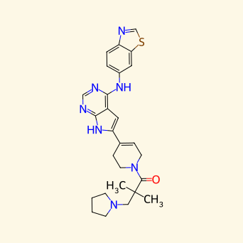 CC(C)(CN1CCCC1)C(=O)N1CC=C(c2cc3c(Nc4ccc5ncsc5c4)ncnc3[nH]2)CC1